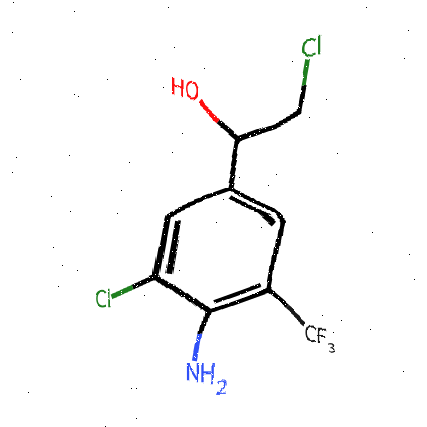 Nc1c(Cl)cc(C(O)CCl)cc1C(F)(F)F